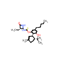 C=C(C)[C@@H]1CCC(C)=C[C@H]1c1c(O)cc(CCCCC)cc1OC(=S)N[C@H]1NC(=O)[C@@H]1CC